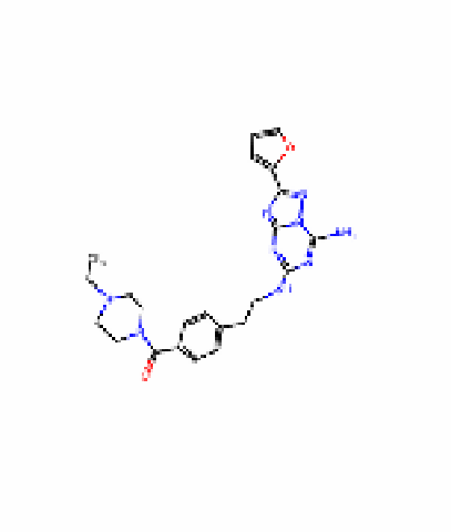 Nc1nc(NCCc2ccc(C(=O)N3CCN(CC(F)(F)F)CC3)cc2)nc2nc(-c3ccco3)nn12